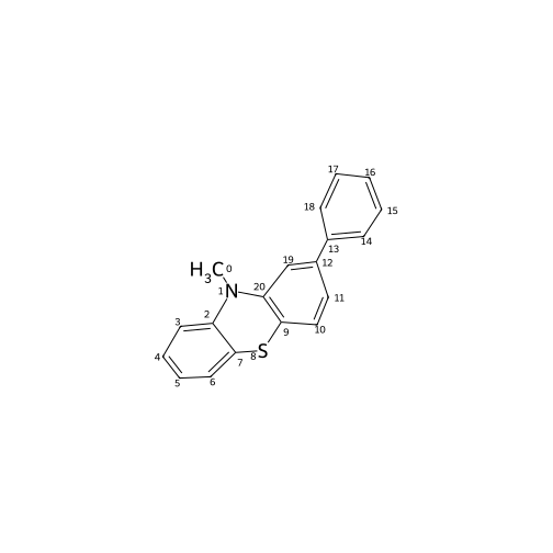 CN1c2ccccc2Sc2ccc(-c3ccccc3)cc21